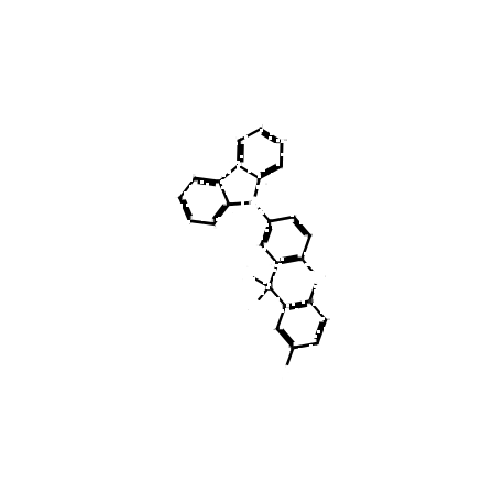 CC1(C)c2cc(Br)ccc2Oc2ccc(-n3c4ccccc4c4ccccc43)cc21